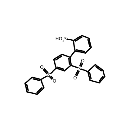 O=S(=O)(O)c1ccccc1-c1ccc(S(=O)(=O)c2ccccc2)cc1S(=O)(=O)c1ccccc1